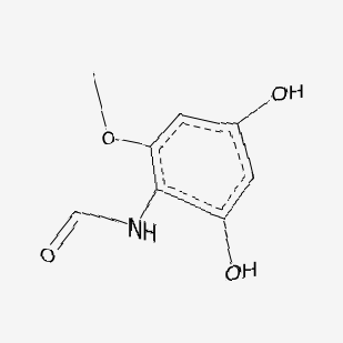 COc1cc(O)cc(O)c1NC=O